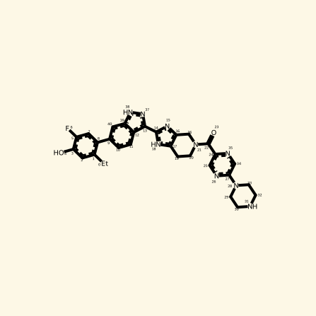 CCc1cc(O)c(F)cc1-c1ccc2c(-c3nc4c([nH]3)CCN(C(=O)c3cnc(N5CCNCC5)cn3)C4)n[nH]c2c1